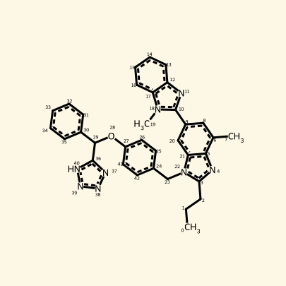 CCCc1nc2c(C)cc(-c3nc4ccccc4n3C)cc2n1Cc1ccc(OC(c2ccccc2)c2nnn[nH]2)cc1